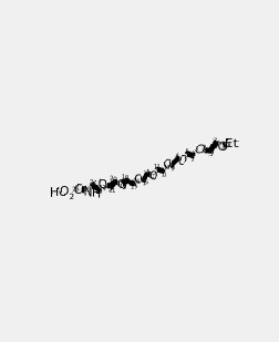 CCOCCOCCOCCOCCOCCOCCOCCOCCNC(=O)O